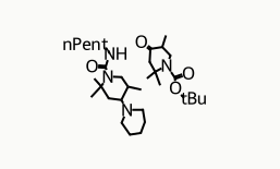 CC1CN(C(=O)OC(C)(C)C)C(C)(C)CC1=O.CCCCCNC(=O)N1CC(C)C(N2CCCCC2)CC1(C)C